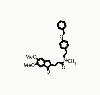 COc1cc2c(cc1OC)C(=O)C(CCC(=O)N(C)CCc1ccc(OCc3ccccc3)cc1)C2